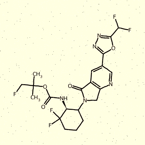 CC(C)(CF)OC(=O)N[C@H]1C(N2Cc3ncc(-c4nnc(C(F)F)o4)cc3C2=O)CCCC1(F)F